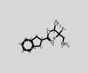 NCC(F)(F)C(OC(=O)C1Cc2ccccc2C1)C(F)(F)F